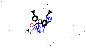 CN1C(=N)N[C@](C)(c2ccc3cnn(CC4CC4)c3c2)[C@H](c2ccc(C3CC3)cc2)C1=O